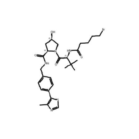 Cc1ncsc1-c1ccc(CNC(=O)[C@H]2C[C@@H](O)CN2C(=O)[C@@H](NC(=O)CCCCBr)C(C)(C)C)cc1